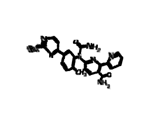 Cc1ccc(-c2ccnc(C(C)(C)C)n2)cc1N(C(N)=O)c1ccc(C(N)=O)c(-c2ccccn2)n1